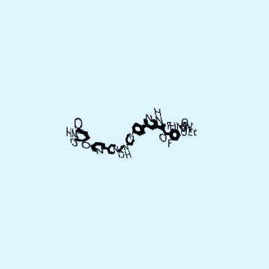 CCN(C)S(=O)(=O)Nc1ccc(F)c(C(=O)c2c[nH]c3ncc(-c4ccc(N5CCC(NCC(=O)N6CCC(c7ccc(OC8CCC(=O)NC8=O)cn7)CC6)CC5)cc4)cc23)c1F